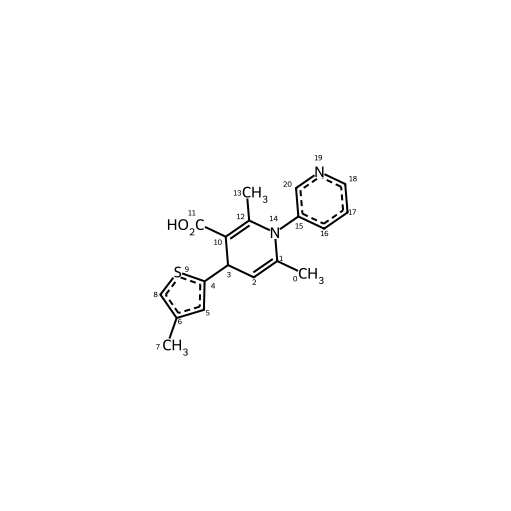 CC1=CC(c2cc(C)cs2)C(C(=O)O)=C(C)N1c1cccnc1